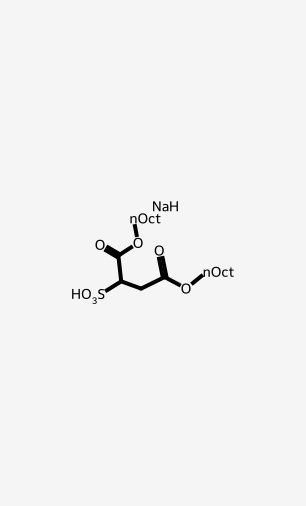 CCCCCCCCOC(=O)CC(C(=O)OCCCCCCCC)S(=O)(=O)O.[NaH]